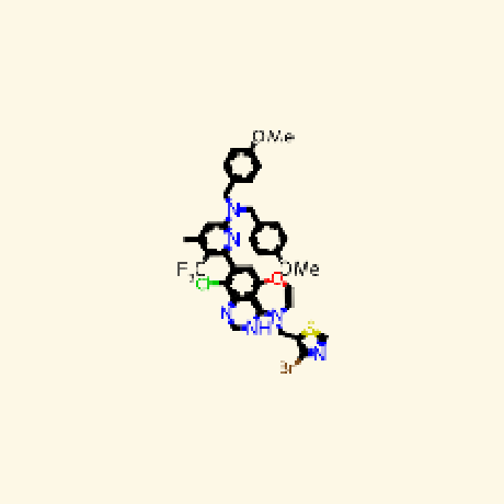 COc1ccc(CN(Cc2ccc(OC)cc2)c2cc(C)c(C(F)(F)F)c(-c3cc4c5c(c3Cl)=NCNC=5N(Cc3scnc3Br)C=CO4)n2)cc1